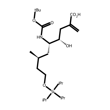 C=C(C[C@H](O)[C@H](C[C@H](C)CCO[Si](C(C)C)(C(C)C)C(C)C)NC(=O)OC(C)(C)C)C(=O)O